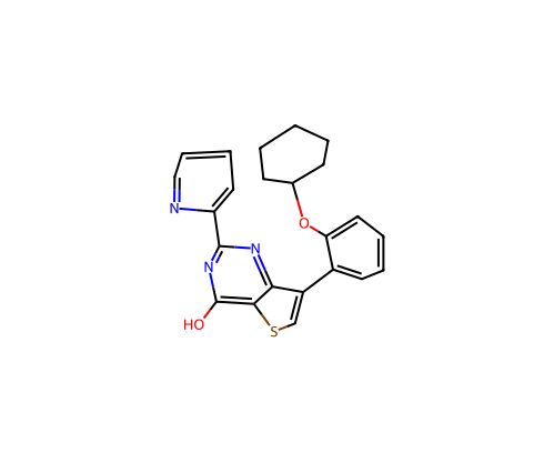 Oc1nc(-c2ccccn2)nc2c(-c3ccccc3OC3CCCCC3)csc12